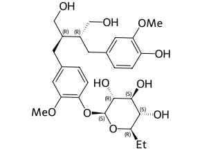 CC[C@H]1O[C@@H](Oc2ccc(C[C@@H](CO)[C@H](CO)Cc3ccc(O)c(OC)c3)cc2OC)[C@H](O)[C@@H](O)[C@@H]1O